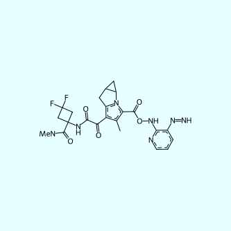 CNC(=O)C1(NC(=O)C(=O)c2c(C)c(C(=O)ONc3ncccc3N=N)n3c2CC2CC23)CC(F)(F)C1